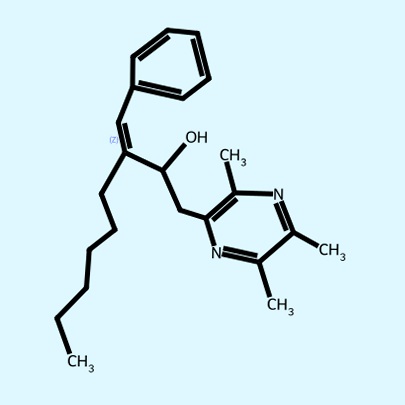 CCCCCC/C(=C/c1ccccc1)C(O)Cc1nc(C)c(C)nc1C